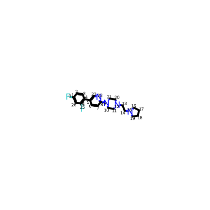 Fc1ccc(-c2ccc(N3CCN(CCN4CCCC4)CC3)nc2)c(F)c1